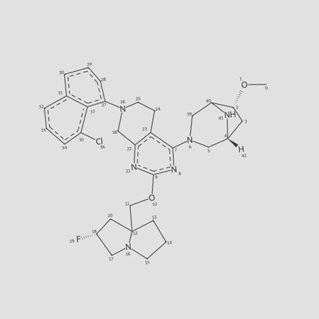 CO[C@@H]1C[C@@H]2CN(c3nc(OCC45CCCN4C[C@H](F)C5)nc4c3CCN(c3cccc5cccc(Cl)c35)C4)CC1N2